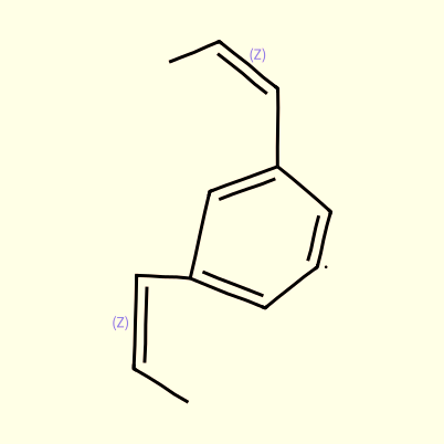 C/C=C\c1c[c]cc(/C=C\C)c1